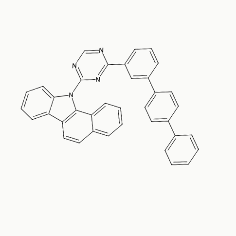 c1ccc(-c2ccc(-c3cccc(-c4ncnc(-n5c6ccccc6c6ccc7ccccc7c65)n4)c3)cc2)cc1